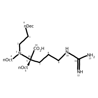 CCCCCCCCCCCCN(CCCCCCCC)[C@@](CCCCCCCC)(CCCNC(=N)N)C(=O)O